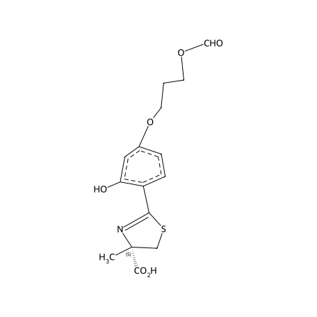 C[C@]1(C(=O)O)CSC(c2ccc(OCCCOC=O)cc2O)=N1